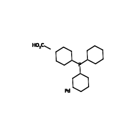 C1CCC(P(C2CCCCC2)C2CCCCC2)CC1.CC(=O)O.[Pd]